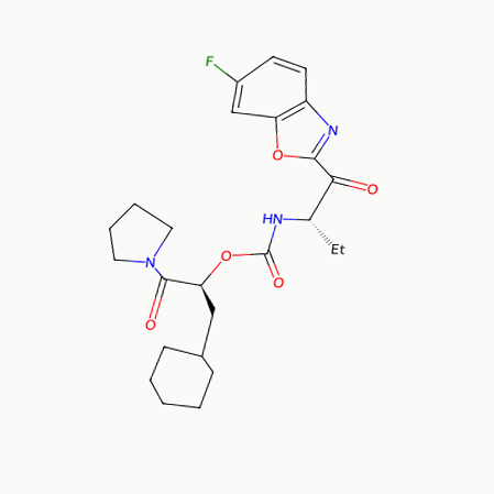 CC[C@H](NC(=O)O[C@@H](CC1CCCCC1)C(=O)N1CCCC1)C(=O)c1nc2ccc(F)cc2o1